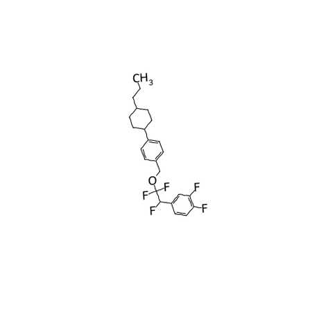 CCCC1CCC(c2ccc(COC(F)(F)C(F)c3ccc(F)c(F)c3)cc2)CC1